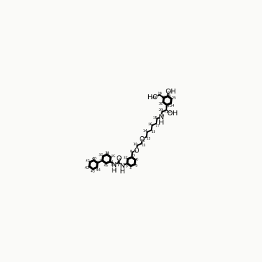 O=C(Nc1cccc(COCCOCCCCCCNC[C@@H](O)c2ccc(O)c(CO)c2)c1)Nc1cccc(-c2ccccc2)c1